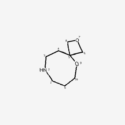 C1CNCCC2(COC2)OC1